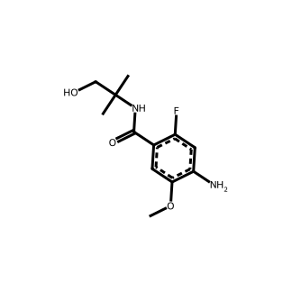 COc1cc(C(=O)NC(C)(C)CO)c(F)cc1N